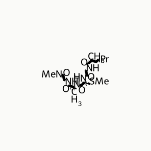 CNC(=O)CNC(=O)[C@H](C)NC(=O)[C@H](CSC)NC(=O)CNC(=O)[C@@H](C)CC(C)C